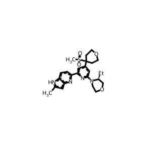 CC[C@H]1COCCN1c1cc(C2(S(C)(=O)=O)CCOCC2)cc(-c2ccc3[nH]c(C)cc3n2)n1